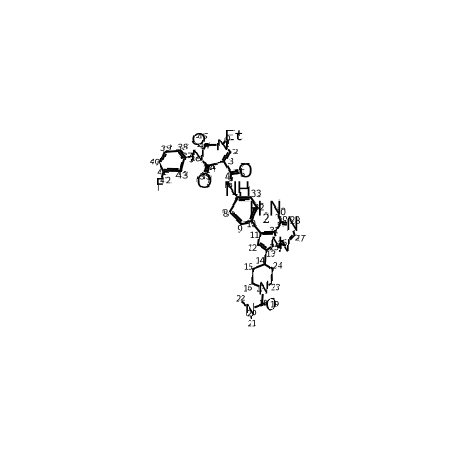 CCn1cc(C(=O)Nc2ccc(-c3cc(C4CCN(C(=O)N(C)C)CC4)n4ncnc(N)c34)cc2)c(=O)n(-c2cccc(F)c2)c1=O